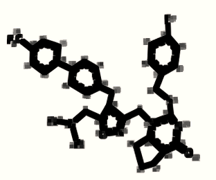 CCN(CC)Cc1onc(Cn2c(SCc3ccc(F)cc3)nc(=O)c3c2CCC3)c1Cc1ccc(-c2ccc(C(F)(F)F)cc2)cc1